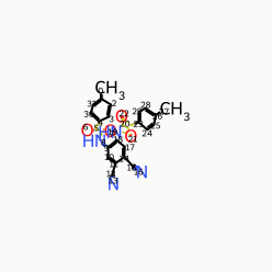 Cc1ccc(S(=O)(=O)Nc2cc(C#N)c(C#N)cc2NS(=O)(=O)c2ccc(C)cc2)cc1